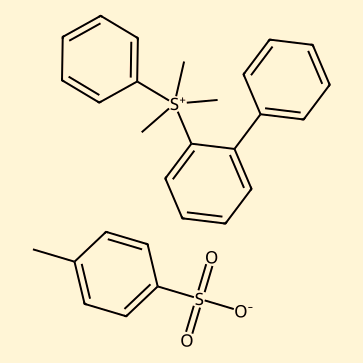 C[S+](C)(C)(c1ccccc1)c1ccccc1-c1ccccc1.Cc1ccc(S(=O)(=O)[O-])cc1